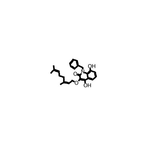 CC(C)=CCCC(C)=CCOc1c(O)c2cccc(O)c2n(Cc2ccccc2)c1=O